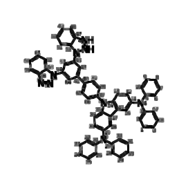 c1ccc(N(c2ccccc2)c2ccc3c(c2)c2cc(N(c4ccccc4)c4ccccc4)ccc2n3-c2ccc(-c3cc(N4NNc5ccccc54)cc(-n4nnc5ccccc54)c3)cc2)cc1